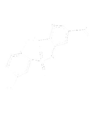 Cc1ccc(C)c(S(=O)(=O)Nc2cc(C=O)cnc2Cl)c1